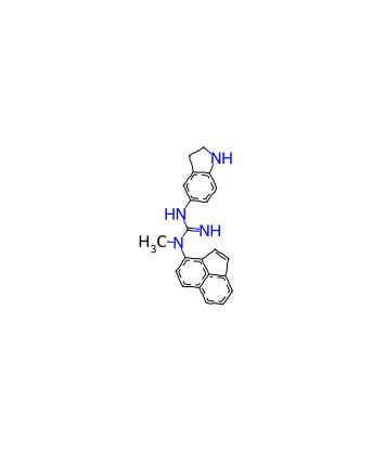 CN(C(=N)Nc1ccc2c(c1)CCN2)c1ccc2cccc3c2c1C=C3